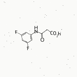 O=C(O)CC(=O)Nc1cc(F)cc(F)c1